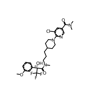 COc1cccc([C@@](O)(C(=O)N(C)CCCC2CCN(c3ncc(C(=O)N(C)C)cc3Cl)CC2)C(F)(F)F)c1